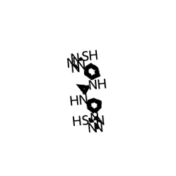 Sc1nnnn1-c1cccc(NC2CC2Nc2cccc(-n3nnnc3S)c2)c1